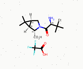 CCC(C)(C)[C@H](N)C(=O)N1C[C@H]2[C@@H]([C@H]1C(=O)O)C2(C)C.O=C(O)C(F)(F)F